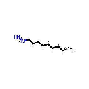 CCCCCCCCCN=N